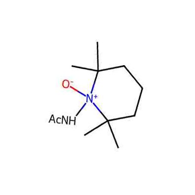 CC(=O)N[N+]1([O-])C(C)(C)CCCC1(C)C